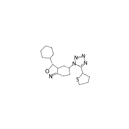 C1CCC(C2ON=C3CCC(n4nnnc4C4CCCS4)CC32)CC1